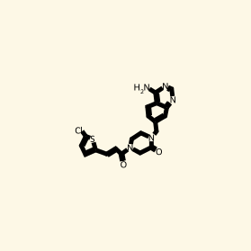 Nc1ncnc2cc(CN3CCN(C(=O)C=Cc4ccc(Cl)s4)CC3=O)ccc12